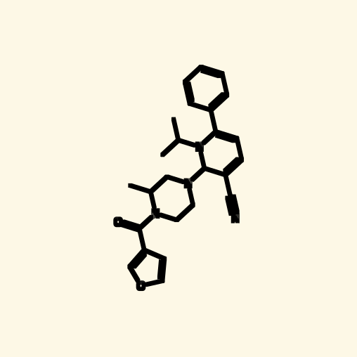 CC1CN(C2C(C#N)=CC=C(c3ccccc3)N2C(C)C)CCN1C(=O)c1ccoc1